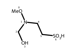 CON(CO)CCS(=O)(=O)O